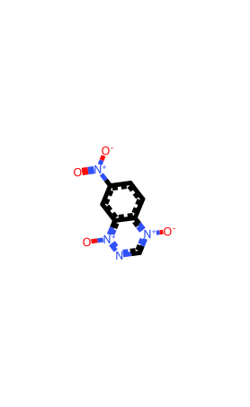 O=[N+]([O-])c1ccc2c(c1)[n+]([O-])nc[n+]2[O-]